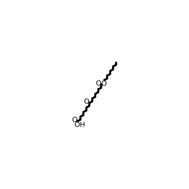 CCCCCCCCCOC(=O)CCCCCCCC(=O)CCCCCCCC(=O)O